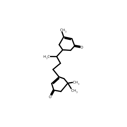 CC1=CC(=O)CC(C(C)CCC2=CC(=O)CC(C)(C)C2)C1